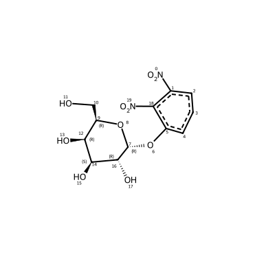 O=[N+]([O-])c1cccc(O[C@H]2O[C@H](CO)[C@H](O)[C@H](O)[C@H]2O)c1[N+](=O)[O-]